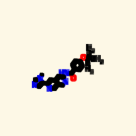 BC(B)(B)Oc1ccc(C(=O)Nc2cc3cc(-c4cncn4C)ncc3cn2)cc1